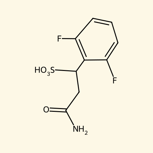 NC(=O)CC(c1c(F)cccc1F)S(=O)(=O)O